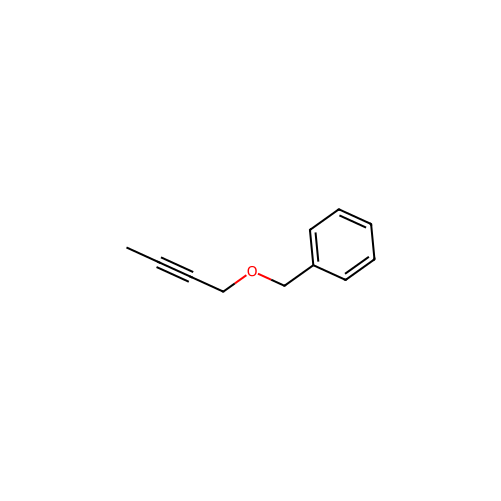 CC#CCOCc1ccccc1